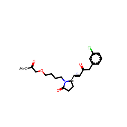 COC(=O)COCCCCN1C(=O)CC[C@@H]1/C=C/C(=O)Cc1cccc(Cl)c1